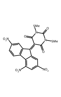 CSN1C(=O)C(=C2c3cc([N+](=O)[O-])ccc3-c3c2cc([N+](=O)[O-])cc3[N+](=O)[O-])C(=O)N(SC)C1=O